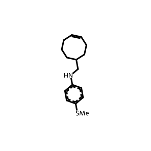 CSc1ccc(NCC2CCC=CCCC2)cc1